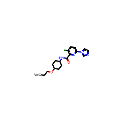 COCCOC1CCC(NC(=O)c2nc(-n3ccnc3)ccc2F)CC1